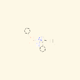 C=C1CCC2C3=Nc4ccccc4C13CCN2C(=O)OCc1ccccc1